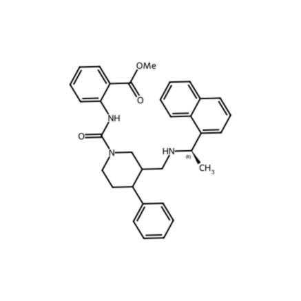 COC(=O)c1ccccc1NC(=O)N1CCC(c2ccccc2)C(CN[C@H](C)c2cccc3ccccc23)C1